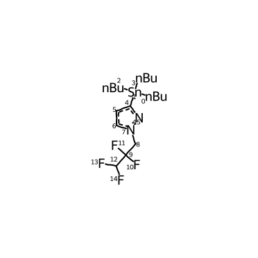 CCC[CH2][Sn]([CH2]CCC)([CH2]CCC)[c]1ccn(CC(F)(F)C(F)F)n1